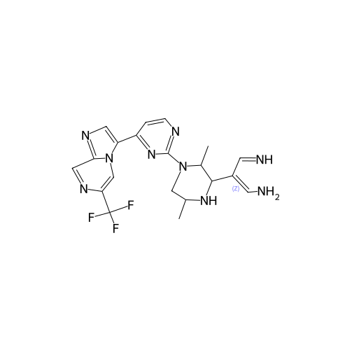 CC1CN(c2nccc(-c3cnc4cnc(C(F)(F)F)cn34)n2)C(C)C(/C(C=N)=C/N)N1